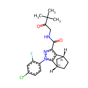 CC(C)(C)C(=O)CNC(=O)c1nn(-c2ccc(Cl)cc2F)c2c1[C@@H]1CC[C@H]2C1